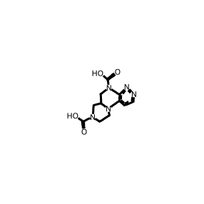 O=C(O)N1CCN2c3ccnnc3N(C(=O)O)CC2C1